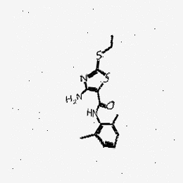 CCSc1nc(N)c(C(=O)Nc2c(C)cccc2C)s1